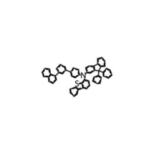 c1ccc(C2(c3ccccc3)c3ccccc3-c3ccc(N(c4ccc(-c5cccc(-c6cccc7ccccc67)c5)cc4)c4cccc5c4sc4ccccc45)cc32)cc1